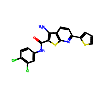 Nc1c(C(=O)Nc2ccc(Cl)c(Cl)c2)sc2nc(-c3cccs3)ccc12